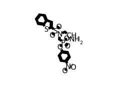 CCN(CP(=O)(ON)Oc1ccc([N+](=O)[O-])cc1)S(=O)(=O)c1cc2ccccc2s1